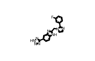 Fc1cccc(-c2nccn2Cc2nc3cc(-c4nn[nH]n4)ccc3[nH]2)c1